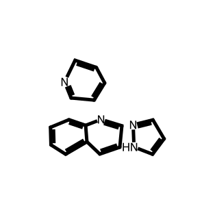 c1ccc2ncccc2c1.c1ccncc1.c1cn[nH]c1